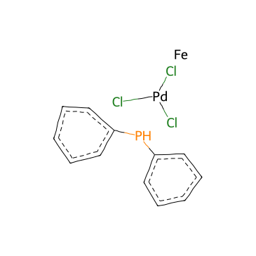 [Cl][Pd]([Cl])[Cl].[Fe].c1ccc(Pc2ccccc2)cc1